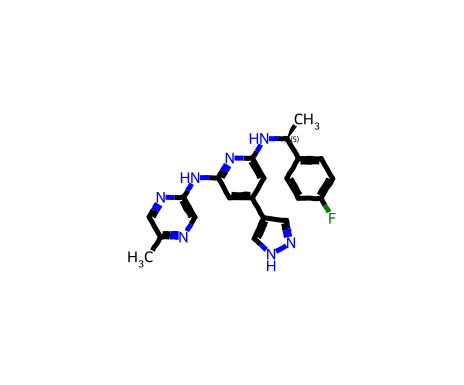 Cc1cnc(Nc2cc(-c3cn[nH]c3)cc(N[C@@H](C)c3ccc(F)cc3)n2)cn1